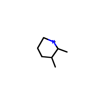 CC1CCC[N]C1C